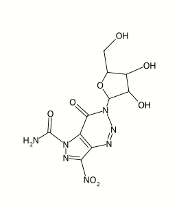 NC(=O)n1nc([N+](=O)[O-])c2nnn(C3OC(CO)C(O)C3O)c(=O)c21